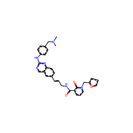 CN(C)Cc1ccc(Nc2ncc3cc(/C=C/CNC(=O)c4cccn(Cc5ccco5)c4=O)ccc3n2)cc1